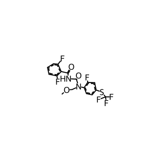 COCN(C(=O)NC(=O)c1c(F)cccc1F)c1ccc(SC(F)(F)F)cc1F